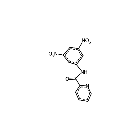 O=C(Nc1cc([N+](=O)[O-])cc([N+](=O)[O-])c1)c1ccccn1